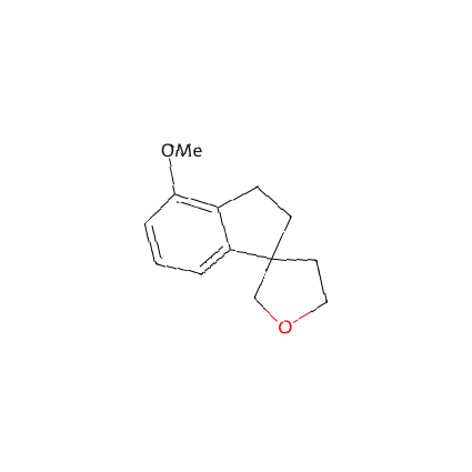 COc1cccc2c1CCC21CCOC1